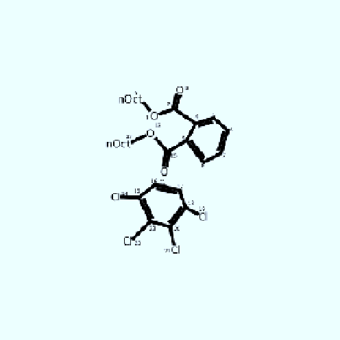 CCCCCCCCOC(=O)c1ccccc1C(=O)OCCCCCCCC.Clc1ccc(Cl)c(Cl)c1Cl